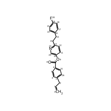 C=CCc1ccc(C(=O)Oc2ccc(CCc3ccc(F)cc3)nc2)cc1